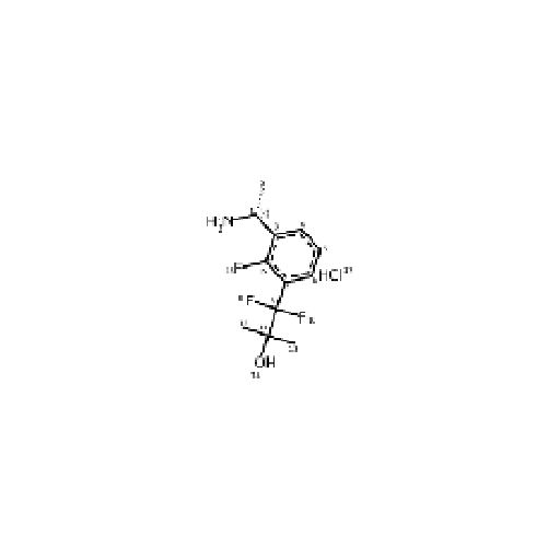 C[C@@H](N)c1cccc(C(F)(F)C(C)(C)O)c1F.Cl